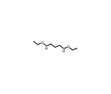 CCONCCCNOCC